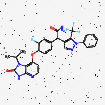 CC(C)n1c(=O)[nH]c2nccc(Oc3ccc(C(C(N)=O)c4cnn(-c5ccccc5)c4C(F)(F)F)cc3F)c21